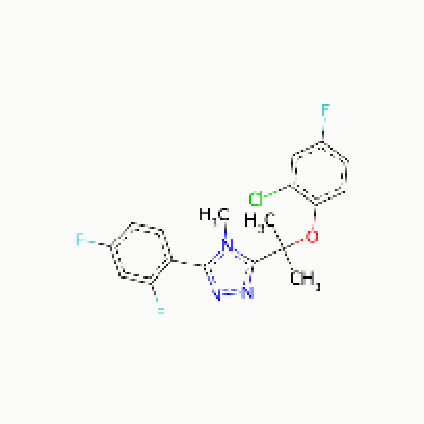 Cn1c(-c2ccc(F)cc2F)nnc1C(C)(C)Oc1ccc(F)cc1Cl